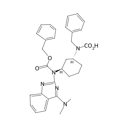 CN(C)c1nc(N(C(=O)OCc2ccccc2)[C@@H]2CCC[C@@H](N(Cc3ccccc3)C(=O)O)C2)nc2ccccc12